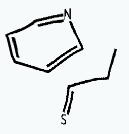 CCC=S.c1ccncc1